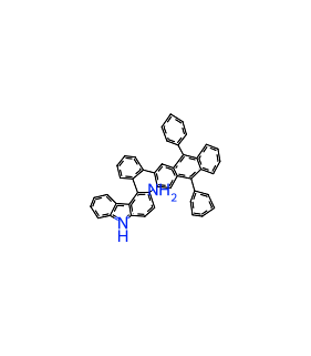 Nc1ccc2[nH]c3ccccc3c2c1-c1ccccc1-c1ccc2c(-c3ccccc3)c3ccccc3c(-c3ccccc3)c2c1